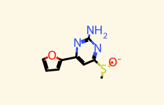 C[S+]([O-])c1cc(-c2ccco2)nc(N)n1